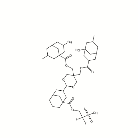 CC1CC2CC(C(=O)OCC3(COC(=O)C45CC(C)CC(CC(O)C4)C5)COC(C4CC5CCCC(C(=O)OCC(F)(F)S(=O)(=O)O)(C5)C4)OC3)CC(O)(C1)C2